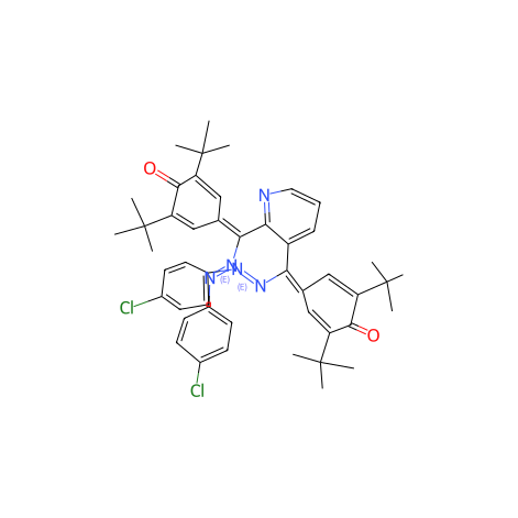 CC(C)(C)C1=CC(=C(/N=N/c2ccc(Cl)cc2)c2cccnc2C(/N=N/c2ccc(Cl)cc2)=C2C=C(C(C)(C)C)C(=O)C(C(C)(C)C)=C2)C=C(C(C)(C)C)C1=O